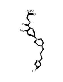 COC(=O)CNC(=O)c1ncc(N2CCN(CCCc3ccc(Cl)cc3)CC2)cc1O